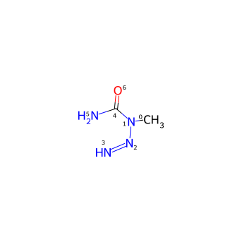 CN(N=N)C(N)=O